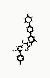 CCc1nc2c(C)cc(-c3ccc(N4CCC(=O)CC4)nc3)cn2c1N(C)c1nc(-c2ccc(F)cc2)c(C#N)s1